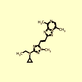 CCN(c1nc(C=Cc2nc3c(C)ncc(C)n3n2)n(C)n1)C1CC1